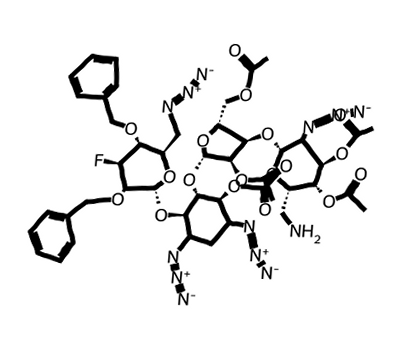 CC(=O)OC[C@H]1O[C@@H](O[C@H]2[C@H](O[C@H]3O[C@H](CN=[N+]=[N-])[C@@H](OCc4ccccc4)[C@H](F)[C@H]3OCc3ccccc3)C(N=[N+]=[N-])CC(N=[N+]=[N-])[C@@H]2OC(C)=O)[C@H](OC(C)=O)[C@@H]1O[C@H]1O[C@@H](CN)[C@@H](OC(C)=O)[C@H](OC(C)=O)C1N=[N+]=[N-]